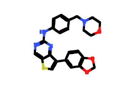 c1cc(Nc2ncc3scc(-c4ccc5c(c4)OCO5)c3n2)ccc1CN1CCOCC1